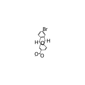 COC(=O)c1ccc2c(c1)[C@@H]1O[C@H]2c2cc(Br)ccc21